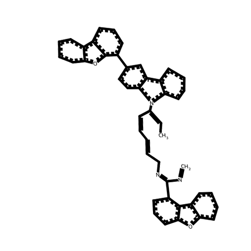 C=N/C(=N\C/C=C/C=C\C(=C/C)n1c2ccccc2c2cc(-c3cccc4c3oc3ccccc34)ccc21)c1cccc2oc3ccccc3c12